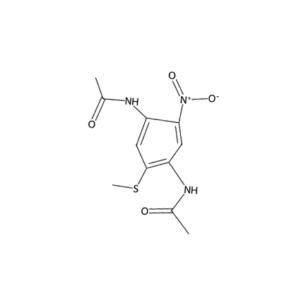 CSc1cc(NC(C)=O)c([N+](=O)[O-])cc1NC(C)=O